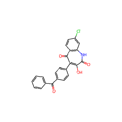 O=C(c1ccccc1)c1ccc(-c2c(O)c(=O)[nH]c3cc(Cl)ccc3c2=O)cc1